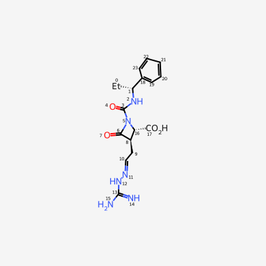 CC[C@@H](NC(=O)N1C(=O)[C@H](C/C=N/NC(=N)N)[C@H]1C(=O)O)c1ccccc1